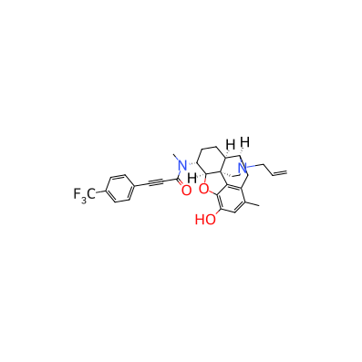 C=CCN1CC[C@]23c4c5c(C)cc(O)c4O[C@H]2[C@H](N(C)C(=O)C#Cc2ccc(C(F)(F)F)cc2)CC[C@H]3[C@H]1C5